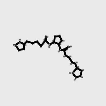 O=C(CCCCC1CCSS1)OC1CCCC1OC(=O)CCCCC1CCSS1